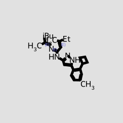 CC/C(C)=C/C(=N\C=C(/C)C(C)CC)Nc1cc(-c2ccc(C)cc2C2CCC2)[nH]n1